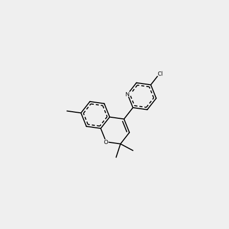 Cc1ccc2c(c1)OC(C)(C)C=C2c1ccc(Cl)cn1